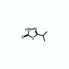 CC(C)c1n[nH]c(=S)s1